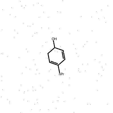 CCCC1=CCC(O)C=C1